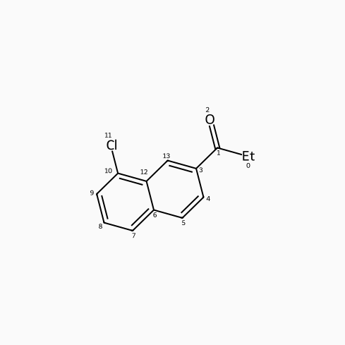 CCC(=O)c1ccc2cccc(Cl)c2c1